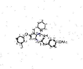 C=C(/N=C1/N=C(Oc2cccc(C)c2)N/C1=C(/N)N1CCCCC1)Nc1ccc(OC)cc1